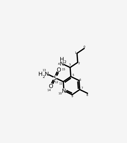 CCCC(N)c1cc(C)cnc1S(N)(=O)=O